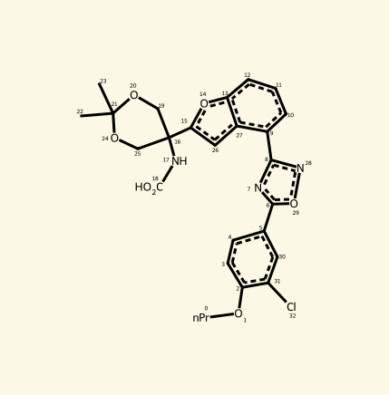 CCCOc1ccc(-c2nc(-c3cccc4oc(C5(NC(=O)O)COC(C)(C)OC5)cc34)no2)cc1Cl